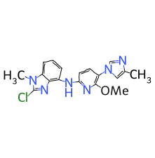 COc1nc(Nc2cccc3c2nc(Cl)n3C)ccc1-n1cnc(C)c1